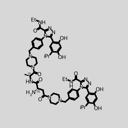 CCNC(=O)c1nnc(-c2cc(C(C)C)c(O)cc2O)n1-c1ccc(CN2CCN(C(=O)C[C@H](N)C(=O)N[C@@H](C)C(=O)N3CCN(Cc4ccc(-n5c(C(=O)NCC)nnc5-c5cc(C(C)C)c(O)cc5O)cc4)CC3)CC2)cc1